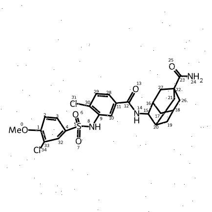 COc1ccc(S(=O)(=O)Nc2cc(C(=O)NC3C4CC5CC3CC(C(N)=O)(C5)C4)ccc2Cl)cc1Cl